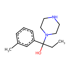 CCC(O)(c1cccc(C)c1)N1CCNCC1